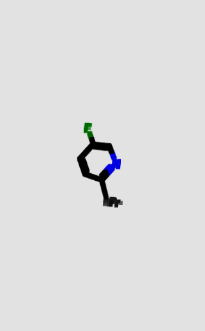 CC[CH]c1ccc(F)cn1